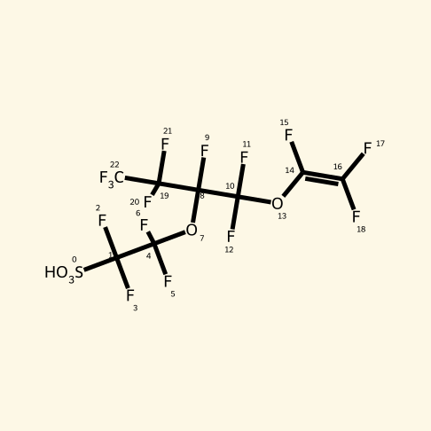 O=S(=O)(O)C(F)(F)C(F)(F)OC(F)(C(F)(F)OC(F)=C(F)F)C(F)(F)C(F)(F)F